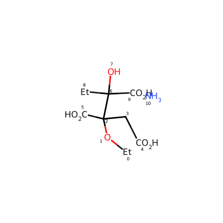 CCOC(CC(=O)O)(C(=O)O)C(O)(CC)C(=O)O.N